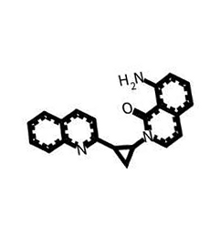 Nc1cccc2ccn(C3CC3c3ccc4ccccc4n3)c(=O)c12